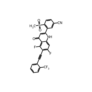 CS(=O)(=O)c1ccc(C#N)cc1-c1cc(=O)c2c(F)c(C#Cc3ccccc3C(F)(F)F)c(F)cc2[nH]1